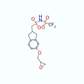 O=S(=O)(CC1Cc2ccc(OCC3CO3)cc2C1)NS(=O)(=O)C(F)(F)F